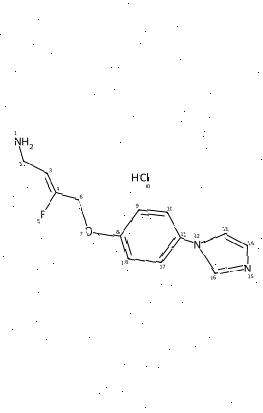 Cl.NCC=C(F)COc1ccc(-n2ccnc2)cc1